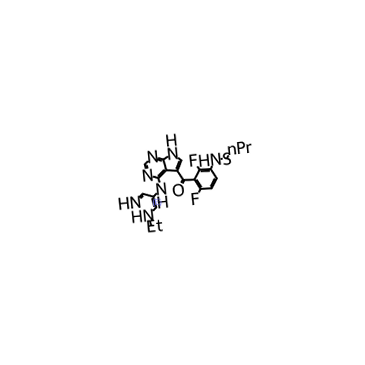 CCCSNc1ccc(F)c(C(=O)c2c[nH]c3ncnc(N/C(C=N)=C/NCC)c23)c1F